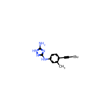 Cc1cc(Nc2n[nH]c(N)n2)ccc1C#CC(C)(C)C